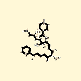 C/C(=C\C=C\[C@H](C)c1ccccn1)[C@@H](C=O)[C@@H](C)/C=C/[C@H](OC(=O)N1CCNCC1)[C@@](C)(O)CC[C@H](O)CC=O